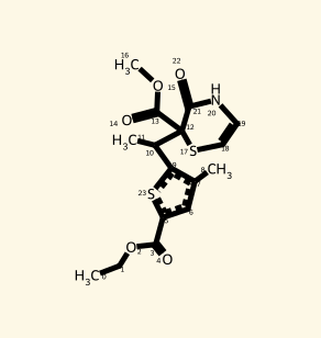 CCOC(=O)c1cc(C)c(C(C)C2(C(=O)OC)SC=CNC2=O)s1